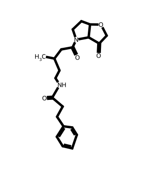 CC(CCNC(=O)CCc1ccccc1)CC(=O)N1CCC2OCC(=O)C21